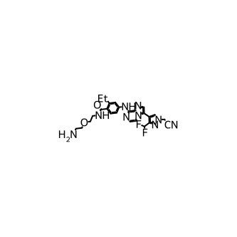 CCc1cc(Nc2nccn3c(-c4cn(CC#N)nc4C(F)F)cnc23)ccc1C(=O)NCCOCCN